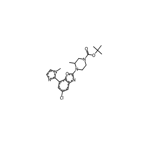 CC1CN(C(=O)OC(C)(C)C)CCN1c1nc2cc(Cl)cc(-c3nccn3C)c2o1